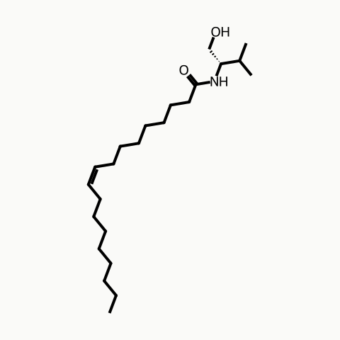 CCCCCCCC/C=C\CCCCCCCC(=O)N[C@H](CO)C(C)C